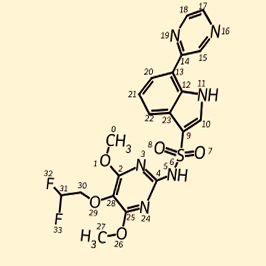 COc1nc(NS(=O)(=O)c2c[nH]c3c(-c4cnccn4)cccc23)nc(OC)c1OCC(F)F